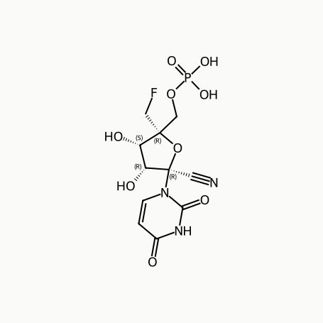 N#C[C@@]1(n2ccc(=O)[nH]c2=O)O[C@](CF)(COP(=O)(O)O)[C@@H](O)[C@H]1O